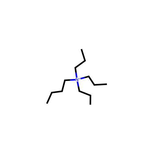 CCCC[N+](CCC)(CCC)CCC